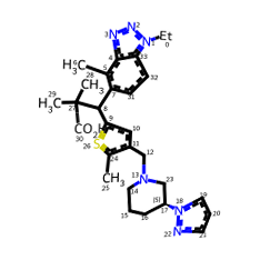 CCn1nnc2c(C)c(C(c3cc(CN4CCC[C@H](n5cccn5)C4)c(C)s3)C(C)(C)C(=O)O)ccc21